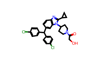 O=C(CO)N1CCC(n2c(C3CC3)nc3ccc(C(c4ccc(Cl)cc4)c4ccc(Cl)cc4)cc32)CC1